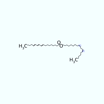 CCCCC=CC=CC=CCCCCCCCC(=O)OCCCCCCCC/C=C\C/C=C\CCCCC